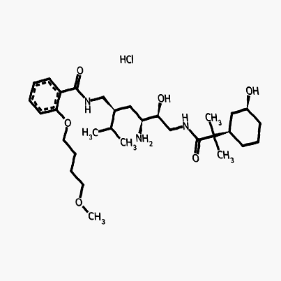 COCCCCOc1ccccc1C(=O)NC[C@@H](C[C@H](N)[C@@H](O)CNC(=O)C(C)(C)[C@@H]1CCC[C@H](O)C1)C(C)C.Cl